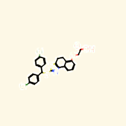 O=C(O)COc1cccc2c1CCc1sc(SC(c3ccc(Cl)cc3)c3ccc(Cl)cc3)nc1-2